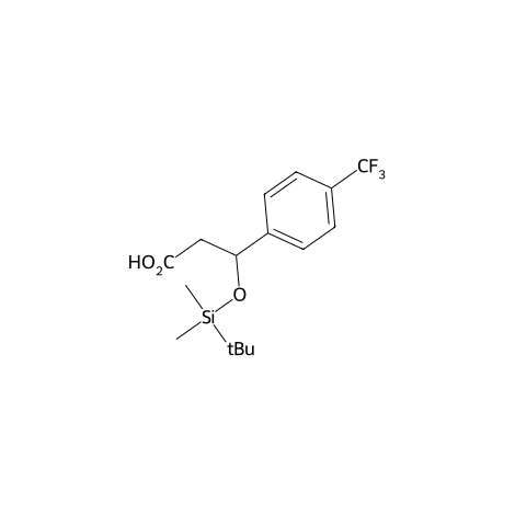 CC(C)(C)[Si](C)(C)OC(CC(=O)O)c1ccc(C(F)(F)F)cc1